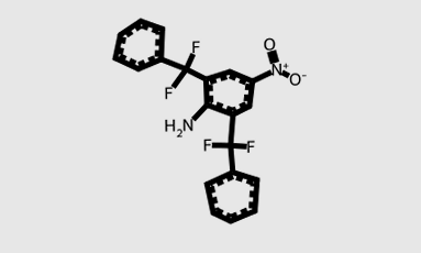 Nc1c(C(F)(F)c2ccccc2)cc([N+](=O)[O-])cc1C(F)(F)c1ccccc1